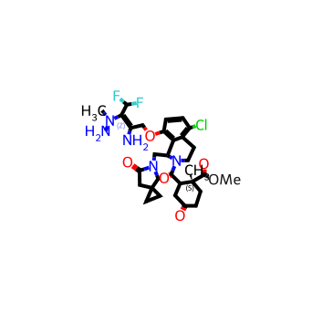 COC(=O)[C@@]1(C)CCC(=O)CC1C(=O)N1CCc2c(Cl)ccc(OC/C(N)=C(\C(F)F)N(C)N)c2C1CN1CC2(CC2)CC1=O